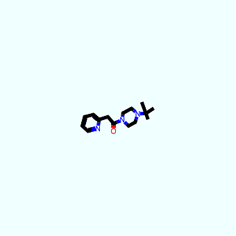 CC(C)(C)N1CCN(C(=O)Cc2ccccn2)CC1